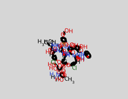 CN[C@H](CC(C)C)C(=O)N[C@H]1C(=O)N[C@@H](CC(=O)NS(=O)(=O)c2ccc(OCCO)cc2)C(=O)N[C@H]2C(=O)N[C@H]3C(=O)N[C@H](C(=O)N[C@H](C(=O)NC4C5CC6CC(C5)CC4C6)c4cc(O)cc(O)c4-c4cc3ccc4O)[C@H](O)c3ccc(c(Cl)c3)Oc3cc2cc(c3O[C@@H]2O[C@H](CO)[C@@H](O)[C@H](O)[C@H]2O[C@H]2C[C@](C)(N)[C@H](O)[C@H](C)O2)Oc2ccc(cc2Cl)[C@H]1O